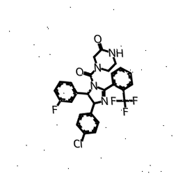 O=C1CN(C(=O)N2C(c3ccccc3C(F)(F)F)=NC(c3ccc(Cl)cc3)C2c2cccc(F)c2)CCN1